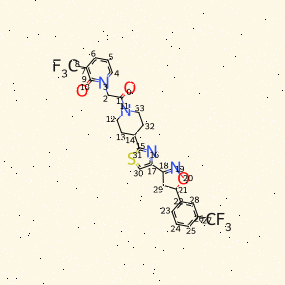 O=C(Cn1cccc(C(F)(F)F)c1=O)N1CCC(c2nc(C3=NOC(c4cccc(C(F)(F)F)c4)C3)cs2)CC1